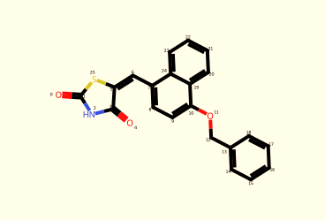 O=C1NC(=O)C(=Cc2ccc(OCc3ccccc3)c3ccccc23)S1